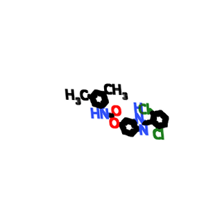 Cc1cc(C)cc(NC(=O)Oc2ccc3nc(-c4c(Cl)cccc4Cl)[nH]c3c2)c1